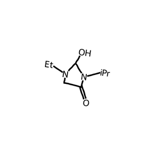 CCN1CC(=O)N(C(C)C)C1O